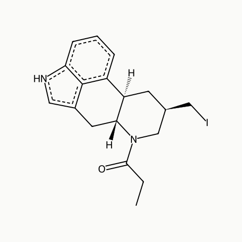 CCC(=O)N1C[C@H](CI)C[C@@H]2c3cccc4[nH]cc(c34)C[C@H]21